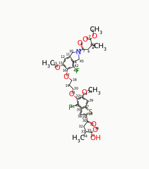 COC(=O)[C@@H](C)CC(=O)N1Cc2cc(OC)c(OCCCOc3c(OC)cc4sc(C(=O)CC(C)C(=O)O)cc4c3F)c(F)c2C1